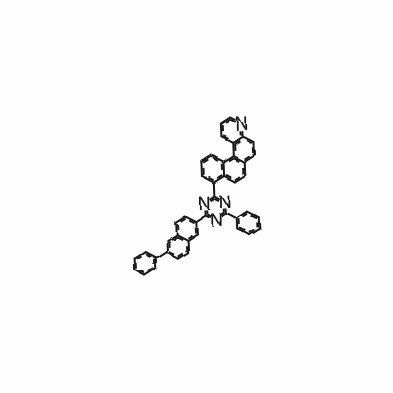 c1ccc(-c2ccc3cc(-c4nc(-c5ccccc5)nc(-c5cccc6c5ccc5ccc7ncccc7c56)n4)ccc3c2)cc1